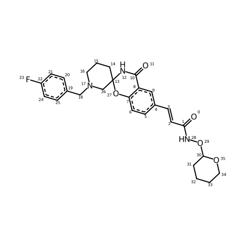 O=C(/C=C/c1ccc2c(c1)C(=O)NC1(CCCN(Cc3ccc(F)cc3)C1)O2)NOC1CCCCO1